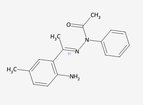 CC(=O)N(/N=C(\C)c1cc(C)ccc1N)c1ccccc1